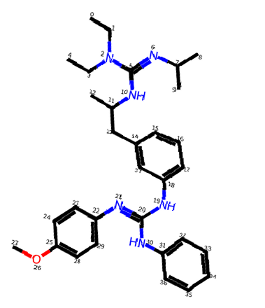 CCN(CC)/C(=N/C(C)C)NC(C)Cc1cccc(NC(=Nc2ccc(OC)cc2)Nc2ccccc2)c1